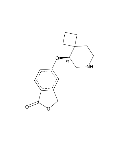 O=C1OCc2cc(O[C@@H]3CNCCC34CCC4)ccc21